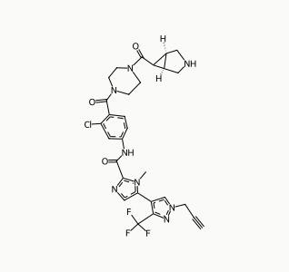 C#CCn1cc(-c2cnc(C(=O)Nc3ccc(C(=O)N4CCN(C(=O)C5[C@H]6CNC[C@@H]56)CC4)c(Cl)c3)n2C)c(C(F)(F)F)n1